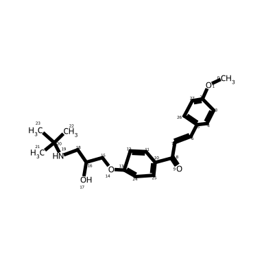 COc1ccc(/C=C/C(=O)c2ccc(OCC(O)CNC(C)(C)C)cc2)cc1